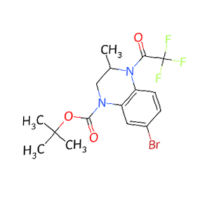 CC1CN(C(=O)OC(C)(C)C)c2cc(Br)ccc2N1C(=O)C(F)(F)F